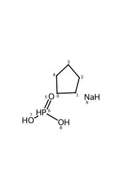 C1CCCC1.O=[PH](O)O.[NaH]